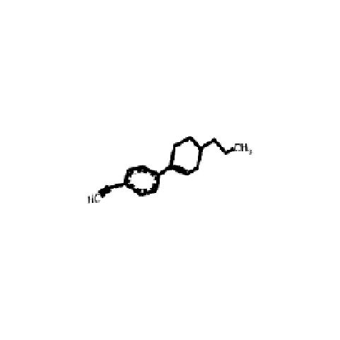 C#Cc1ccc(C2=CCC(CCC)CC2)cc1